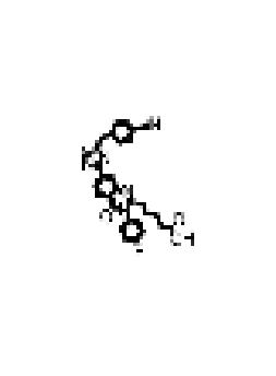 N#Cc1ccc(Cc2nc(-c3ccc4c(=O)n(-c5ccc(F)cc5)c(CCCCC(=O)O)nc4c3)no2)cc1